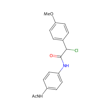 COc1ccc(C(Cl)C(=O)Nc2ccc(NC(C)=O)cc2)cc1